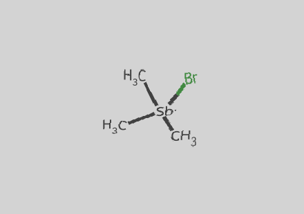 [CH3][Sb]([CH3])([CH3])[Br]